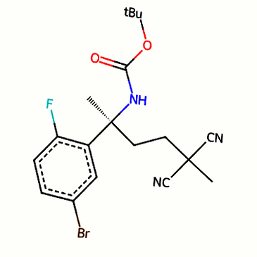 CC(C#N)(C#N)CC[C@](C)(NC(=O)OC(C)(C)C)c1cc(Br)ccc1F